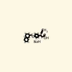 CC#C[C@@H](CC(=O)O)c1ccc(OCC2CCCC3(CCCCC3)C2)cc1.[NaH]